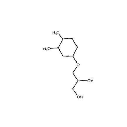 CC1CCC(OCC(O)CO)CC1C